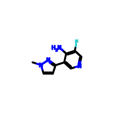 Cn1ccc(-c2cncc(F)c2N)n1